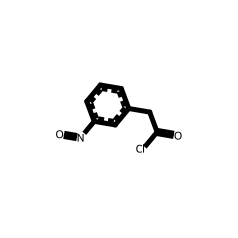 O=Nc1cccc(CC(=O)Cl)c1